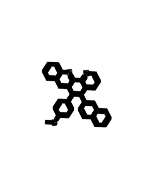 COc1ccc(-c2c(-c3ccc4ccccc4c3)c3cccnc3c3nc4ccccc4cc23)cc1